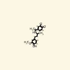 COc1cc(CCC(C)NC(C)c2ccc(Cl)c(Cl)c2)ccc1O